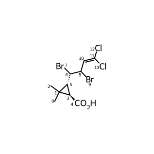 CC1(C)[C@H](C(=O)O)[C@H]1C(Br)C(Br)C=C(Cl)Cl